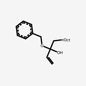 C=CC(O)(CCCCCCCCC)OCc1ccccc1